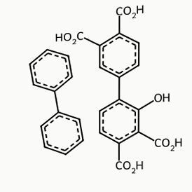 O=C(O)c1ccc(-c2ccc(C(=O)O)c(C(=O)O)c2O)cc1C(=O)O.c1ccc(-c2ccccc2)cc1